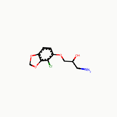 NCC(O)COc1ccc2c(c1Cl)OCO2